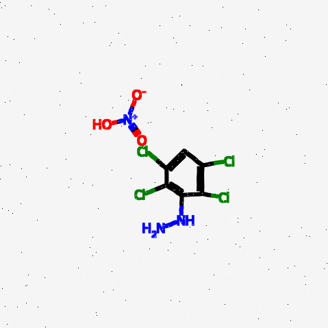 NNc1c(Cl)c(Cl)cc(Cl)c1Cl.O=[N+]([O-])O